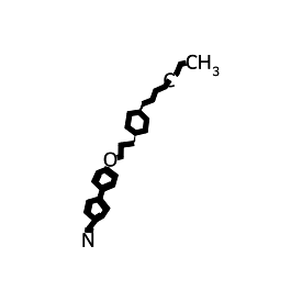 CCCCCCCC[C@H]1CC[C@H](CCCOc2ccc(-c3ccc(C#N)cc3)cc2)CC1